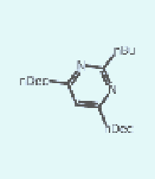 [CH2]CCCc1nc(CCCCCCCCCC)cc(CCCCCCCCCC)n1